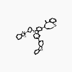 C=C1/C=C(c2ccc3c(c2)c2cc(-c4ccc5sc6ccccc6c5c4)ccc2n3-c2cccc(-c3nc4ccccc4s3)c2)\C=C/CSc2ccccc21